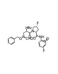 CCCC[C@H](CN(C=O)OCc1ccccc1)C(=O)N1C[C@H](F)C[C@H]1C(=O)Nc1ccc(F)c[n+]1[O-]